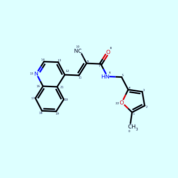 Cc1ccc(CNC(=O)/C(C#N)=C/c2ccnc3ccccc23)o1